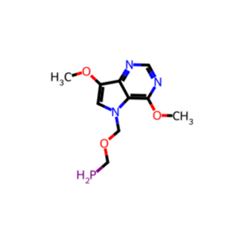 COc1cn(COCP)c2c(OC)ncnc12